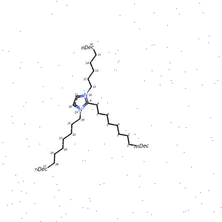 CCCCCCCCCCCCCCCCCCc1n(CCCCCCCCCCCCCCC)cc[n+]1CCCCCCCCCCCCCCCCC